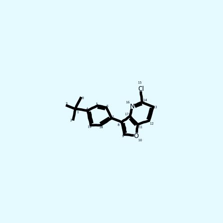 CC(C)(C)c1ccc(-c2coc3ccc(Cl)nc23)cc1